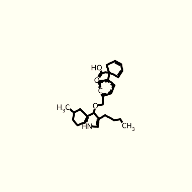 CCCCC1=CNC2=C(CC(C)CC2)C1OCc1ccc(C2(C(=O)O)C=CC=CC2)cc1